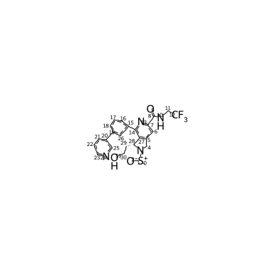 C[S+]([O-])N1Cc2cc(C(=O)NCC(F)(F)F)nc(-c3cccc(-c4cccnc4)c3)c2[C@H]1CCO